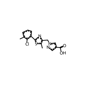 Cc1cccc(-c2nc(Cn3cc(C(=O)O)cn3)c(C)s2)c1Cl